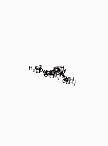 C=C(C)C(=O)OCCNC(=O)OCC1(C)CC2CC(C1)C1CC(C)(COC(=O)NCCOC(=O)C(=C)C)CCC21